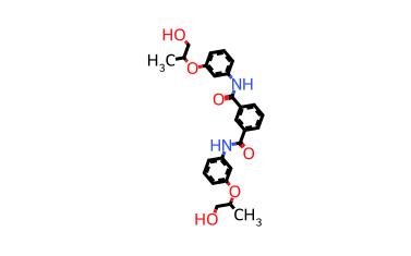 CC(CO)Oc1cccc(NC(=O)c2cccc(C(=O)Nc3cccc(OC(C)CO)c3)c2)c1